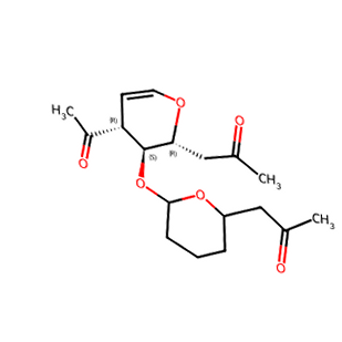 CC(=O)CC1CCCC(O[C@@H]2[C@@H](CC(C)=O)OC=C[C@H]2C(C)=O)O1